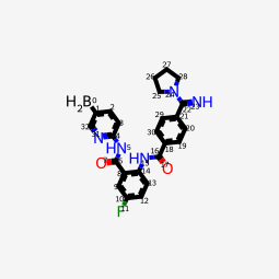 Bc1ccc(NC(=O)c2cc(F)ccc2NC(=O)c2ccc(C(=N)N3CCCC3)cc2)nc1